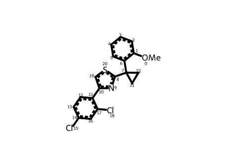 COc1ccccc1C1(c2nc(-c3ccc(Cl)cc3Cl)cs2)CC1